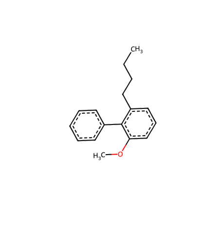 CCCCc1cccc(OC)c1-c1ccccc1